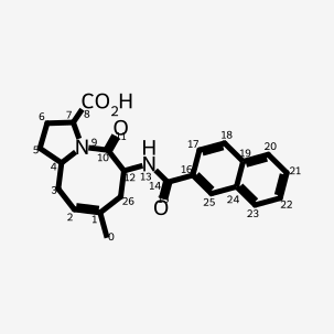 CC1=CCC2CCC(C(=O)O)N2C(=O)C(NC(=O)c2ccc3ccccc3c2)C1